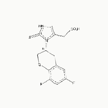 O=C(O)Cc1c[nH]c(=S)n1[C@H]1COc2c(F)cc(F)cc2C1